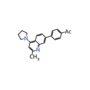 CC(=O)c1ccc(-c2ccc3c(N4CCCC4)cc(C)nc3c2)cc1